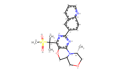 C[C@@H]1COCC2COc3c(nc(-c4ccc5ncccc5c4)nc3C(C)(C)S(C)(=O)=O)N21